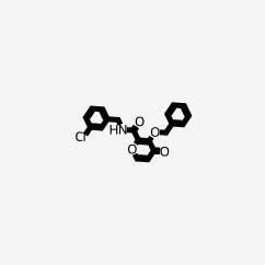 O=C(NCc1cccc(Cl)c1)c1occc(=O)c1OCc1ccccc1